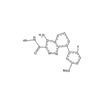 CCCNC(=O)c1nnc2c(-c3cc(OC)ccc3F)cccc2c1N